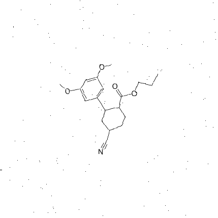 CCCOC(=O)C1CCC(C#N)CC1c1cc(OC)cc(OC)c1